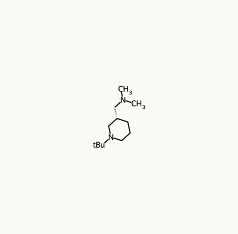 CN(C)C[C@@H]1CCCN(C(C)(C)C)C1